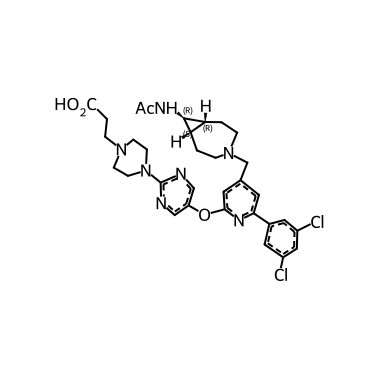 CC(=O)N[C@H]1[C@@H]2CCN(Cc3cc(Oc4cnc(N5CCN(CCC(=O)O)CC5)nc4)nc(-c4cc(Cl)cc(Cl)c4)c3)CC[C@@H]21